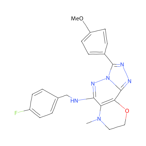 COc1ccc(-c2nnc3c4c(c(NCc5ccc(F)cc5)nn23)N(C)CCO4)cc1